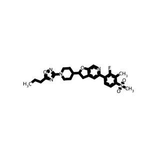 CCCc1nc(N2CCC(C3Cc4cc(-c5ccc(S(C)(=O)=O)c(C)c5F)ncc4O3)CC2)no1